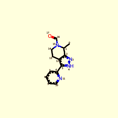 CC1c2n[nH]c(-c3ccccn3)c2CCN1C=O